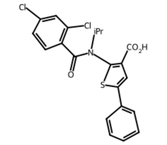 CC(C)N(C(=O)c1ccc(Cl)cc1Cl)c1sc(-c2ccccc2)cc1C(=O)O